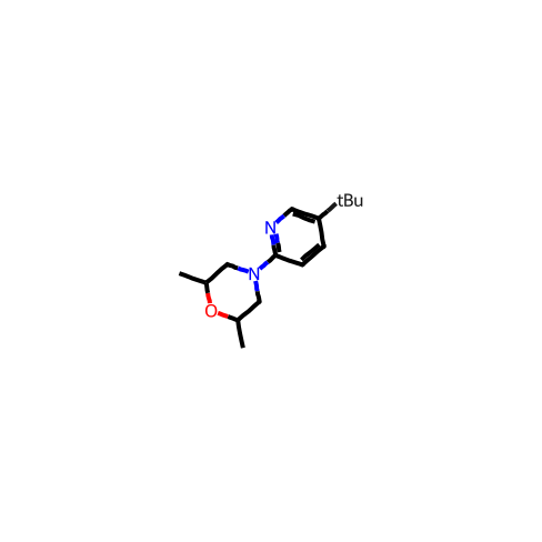 CC1CN(c2ccc(C(C)(C)C)cn2)CC(C)O1